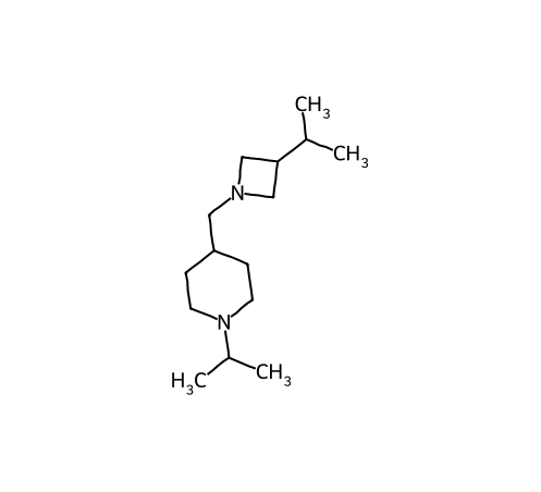 CC(C)C1CN(CC2CCN(C(C)C)CC2)C1